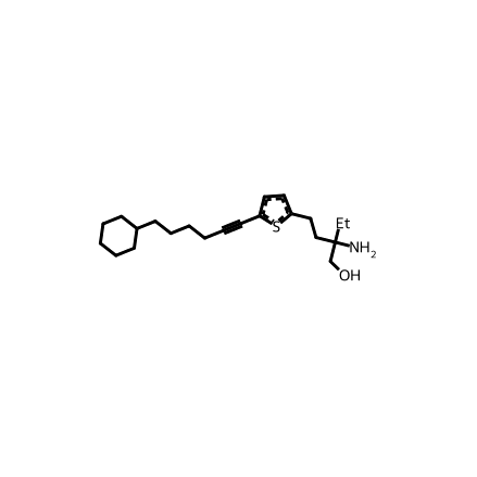 CCC(N)(CO)CCc1ccc(C#CCCCCC2CCCCC2)s1